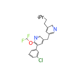 C[C](C)CCc1cncc(Cc2cnc(OC(F)F)c(-c3cccc(Cl)c3)c2)c1